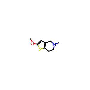 COc1cc2c(s1)CCN(C)C2